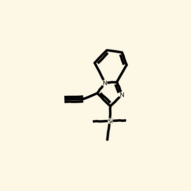 C#Cc1c([Si](C)(C)C)nc2ccccn12